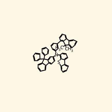 CC1(C)c2ccccc2-c2cccc(-c3cccc(N(c4ccc5c(c4)C(c4ccccc4)(c4ccccc4)c4ccccc4-5)c4cccc5c4sc4ccccc45)c3)c21